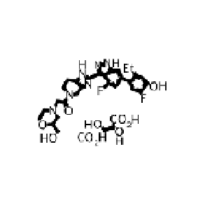 CCc1cc(O)c(F)cc1-c1cc(F)c2c(-c3nc4c([nH]3)CCN(C(=O)CN3CCOC(CO)C3)C4)n[nH]c2c1.O=C(O)C(O)C(O)C(=O)O